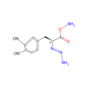 NN=N[C@@H](Cc1ccc(N=O)c(N=O)c1)C(=O)ON